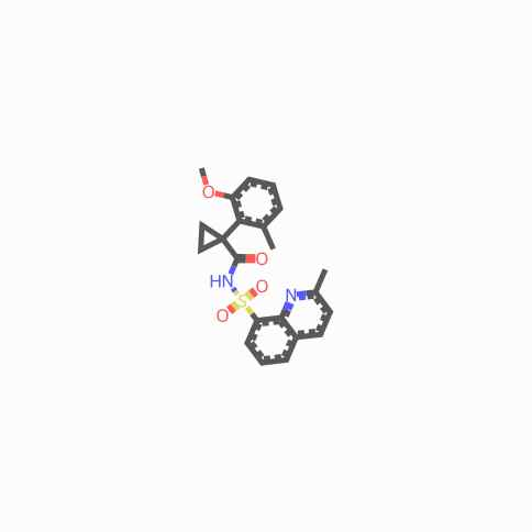 COc1cccc(C)c1C1(C(=O)NS(=O)(=O)c2cccc3ccc(C)nc23)CC1